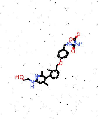 Cc1cc(NCCO)nc(C)c1-c1cccc(COc2ccc(Cn3oc(=O)[nH]c3=O)cc2)c1C